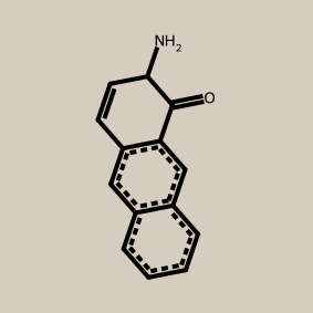 NC1C=Cc2cc3ccccc3cc2C1=O